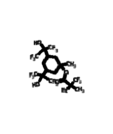 CCC(C)(C(=O)OC1(C)CC(C(O)(C(F)(F)F)C(F)(F)F)CC(C(O)(C(F)(F)F)C(F)(F)F)C1)C(F)(F)F